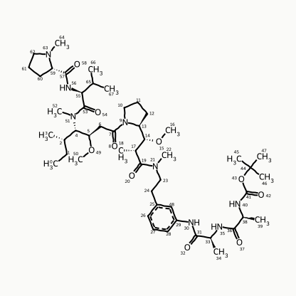 CC[C@H](C)[C@@H]([C@@H](CC(=O)N1CCC[C@H]1[C@H](OC)[C@@H](C)C(=O)N(C)CCc1cccc(NC(=O)[C@H](C)NC(=O)[C@H](C)NC(=O)OC(C)(C)C)c1)OC)N(C)C(=O)[C@@H](NC(=O)[C@@H]1CCCN1C)C(C)C